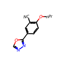 CCCOc1ccc(-c2nnco2)cc1C#N